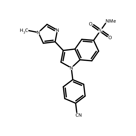 CNS(=O)(=O)c1ccc2c(c1)c(-c1cn(C)cn1)cn2-c1ccc(C#N)cc1